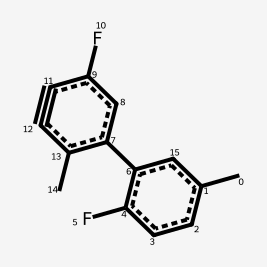 Cc1ccc(F)c(-c2cc(F)c#cc2C)c1